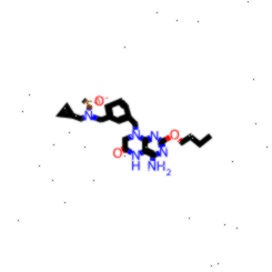 CCCCOc1nc(N)c2c(n1)N(Cc1cccc(CN(CC3CC3)[S+](C)[O-])c1)CC(=O)N2